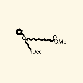 CCCCCCCCCCCCCC[C@H](CCCCCCC=CC=CC(=O)OC)OCc1ccccc1